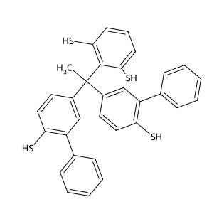 CC(c1ccc(S)c(-c2ccccc2)c1)(c1ccc(S)c(-c2ccccc2)c1)c1c(S)cccc1S